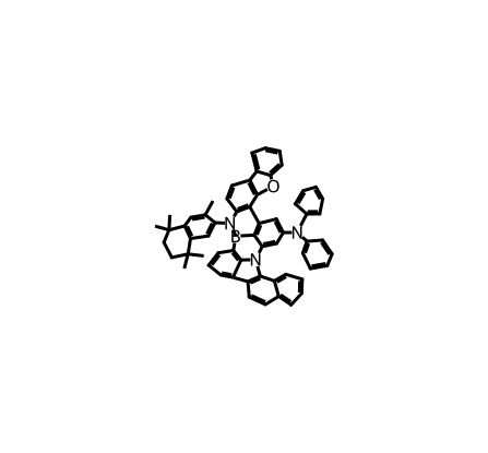 Cc1cc2c(cc1N1B3c4c(cc(N(c5ccccc5)c5ccccc5)cc4-n4c5c3cccc5c3ccc5ccccc5c34)-c3c1ccc1c3oc3ccccc31)C(C)(C)CCC2(C)C